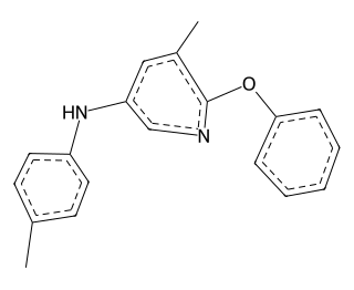 Cc1ccc(Nc2cnc(Oc3ccccc3)c(C)c2)cc1